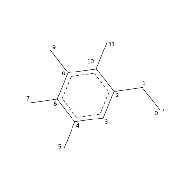 [CH2]Cc1cc(C)c(C)c(C)c1C